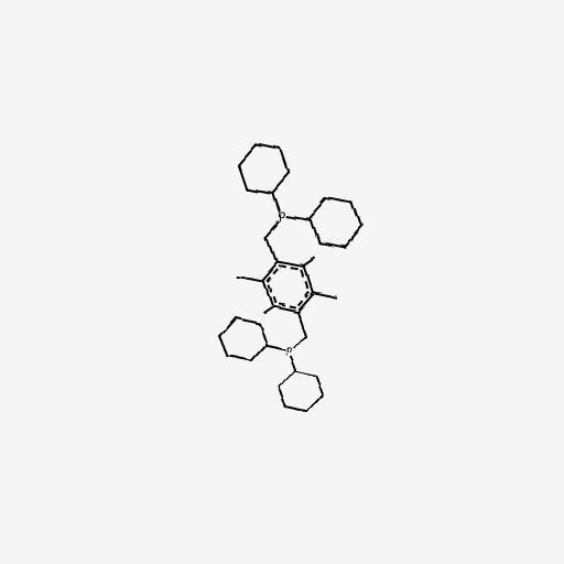 Cc1c(C)c(CP(C2CCCCC2)C2CCCCC2)c(C)c(C)c1CP(C1CCCCC1)C1CCCCC1